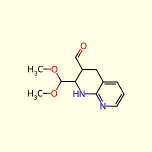 COC(OC)C1Nc2ncccc2CC1C=O